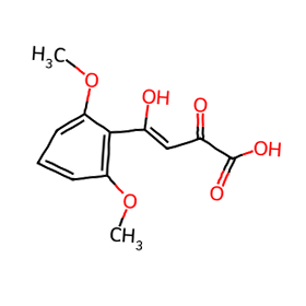 COc1cccc(OC)c1C(O)=CC(=O)C(=O)O